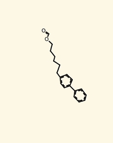 O=COCCCCCCc1ccc(-c2ccccc2)cc1